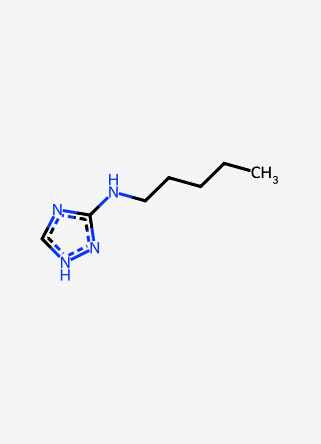 CCCCCNc1nc[nH]n1